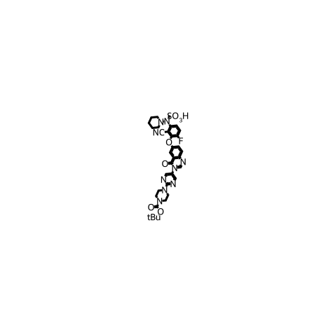 CC(C)(C)OC(=O)N1CCN(c2ncc(-n3cnc4ccc(Oc5c(F)ccc(N(N6CCCCC6)S(=O)(=O)O)c5C#N)cc4c3=O)cn2)CC1